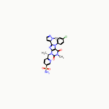 C[C@@H](c1ccc(S(N)(=O)=O)cn1)n1c(=O)n(C)c(=O)c2c1nc(-c1ccnn1C)n2-c1ccc(Cl)cc1